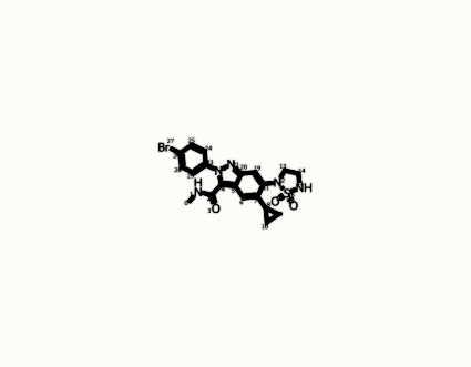 CNC(=O)c1c2cc(C3CC3)c(N3CCNS3(=O)=O)cc2nn1-c1ccc(Br)cc1